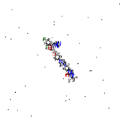 CC[C@@H](C(C)C)n1ncn(-c2ccc(N3CCN(c4ccc(OCC5COC(Cn6cncn6)(c6ccc(F)cc6F)C5)cc4)CC3)cc2)c1=O